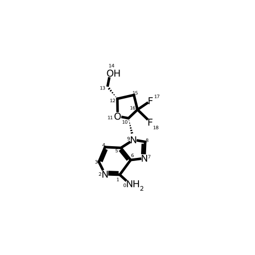 Nc1nccc2c1ncn2[C@@H]1O[C@H](CO)CC1(F)F